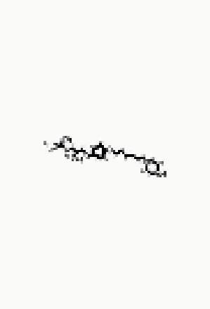 CC(C)NCC(O)COc1ccc(OCCCCCCN2CCNCC2)cc1